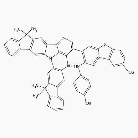 CC(C)(C)c1ccc(Nc2cc3c(cc2-c2ccc4c5cc6c(cc5n5c4c2Bc2cc4c(cc2-5)C(C)(C)c2ccccc2-4)-c2ccccc2C6(C)C)sc2ccc(C(C)(C)C)cc23)cc1